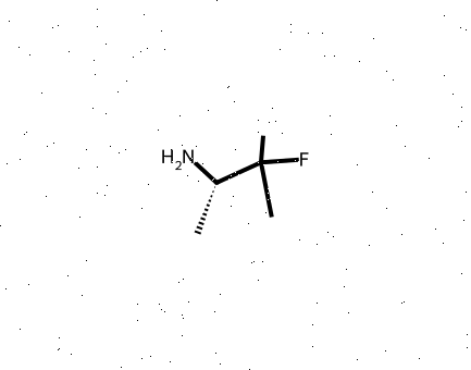 C[C@H](N)C(C)(C)F